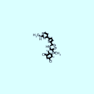 CNc1nccc(-c2ccc(C(=O)N[C@@H](CC3=C(Cl)CC(Cl)C=C3)C(=O)OC)s2)n1